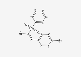 CC(C)(C)c1ccc(C=C(S)S(=O)(=O)c2ccccc2)cc1